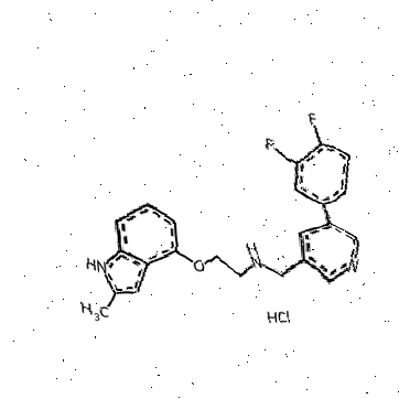 Cc1cc2c(OCCNCc3cncc(-c4ccc(F)c(F)c4)c3)cccc2[nH]1.Cl